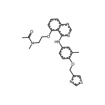 CC(=O)N(C)CCOc1cccc2ncnc(Nc3ccc(OCc4cscn4)c(C)c3)c12